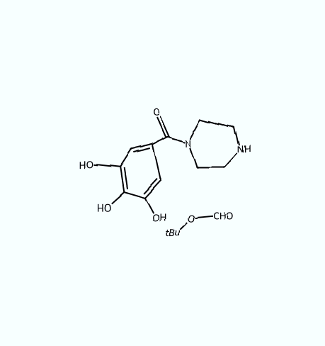 CC(C)(C)OC=O.O=C(c1cc(O)c(O)c(O)c1)N1CCNCC1